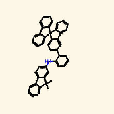 CC1(C)c2ccccc2-c2ccc(Nc3ccccc3-c3ccc4c(c3)-c3ccccc3C43c4ccccc4-c4ccccc43)cc21